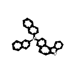 c1ccc2cc(N(c3ccc4ccccc4c3)c3ccc4c(ccc5oc6ccccc6c54)c3)ccc2c1